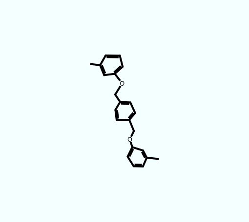 Cc1cccc(OCc2ccc(COc3cccc(C)c3)cc2)c1